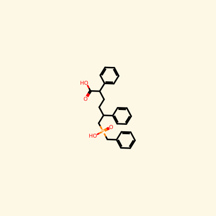 O=C(O)C(CCC(CP(=O)(O)Cc1ccccc1)c1ccccc1)c1ccccc1